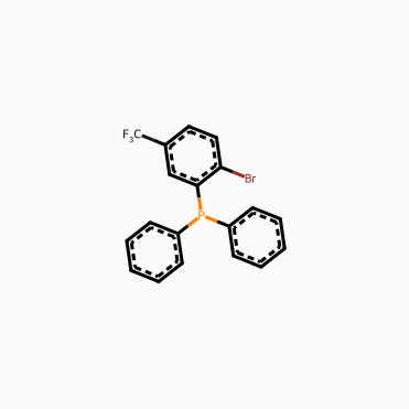 FC(F)(F)c1ccc(Br)c(P(c2ccccc2)c2ccccc2)c1